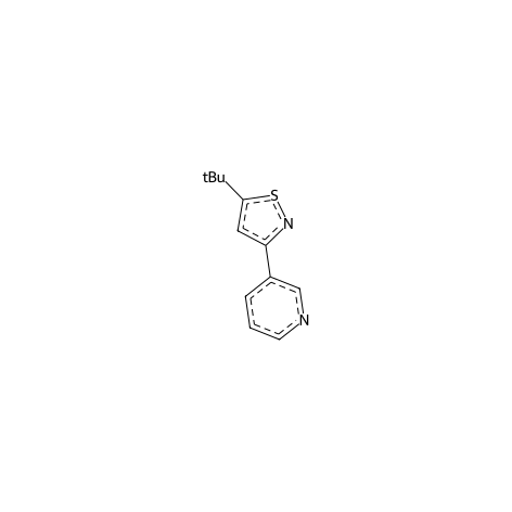 CC(C)(C)c1cc(-c2cccnc2)ns1